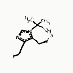 CC(C)(C)n1cnc(CI)c1CI